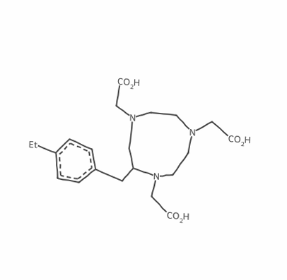 CCc1ccc(CC2CN(CC(=O)O)CCN(CC(=O)O)CCN2CC(=O)O)cc1